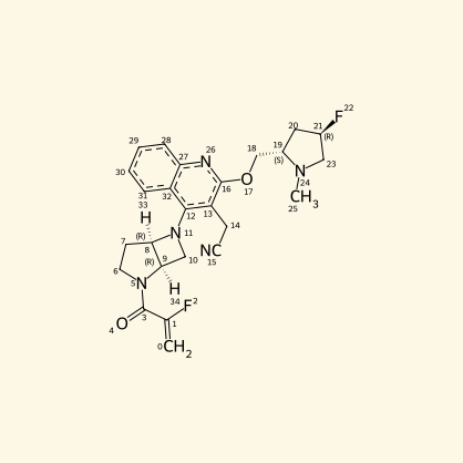 C=C(F)C(=O)N1CC[C@@H]2[C@H]1CN2c1c(CC#N)c(OC[C@@H]2C[C@@H](F)CN2C)nc2ccccc12